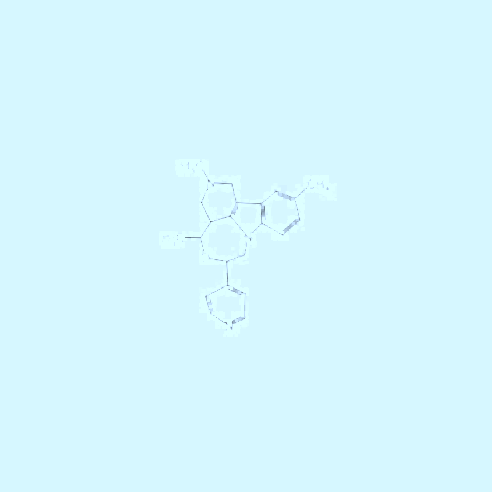 Cc1ccc2c(c1)c1c3n2CC(c2ccncc2)OC(C)C3CN(C)C1